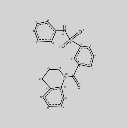 O=C(c1cccc(S(=O)(=O)Nc2ccccc2)c1)N1CCCc2ccccc21